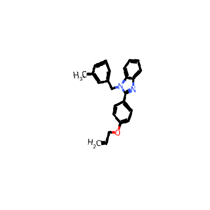 C=CCOc1ccc(-c2nc3ccccc3n2Cc2cccc(C)c2)cc1